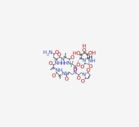 C[C@H](NC(=O)CCNC(=O)CN1C(=O)C=CC1=O)C(=O)N[C@@H](C)C(=O)N[C@@H](CC(N)=O)C(=O)N[C@@H](C)C(=O)NC(C)(C)C(=O)OC[C@@H]1[C@@H](O)[C@H](O)[C@H](O)[C@H]2NC(=O)C(=O)N12